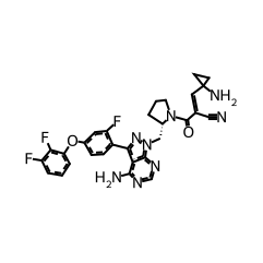 N#C/C(=C\C1(N)CC1)C(=O)N1CCC[C@H]1Cn1nc(-c2ccc(Oc3cccc(F)c3F)cc2F)c2c(N)ncnc21